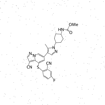 COC(=O)NC1CCC(n2ncc(-c3cc(Sc4ccc(F)cc4C#N)c4c(C#N)cnn4c3)c2C)CC1